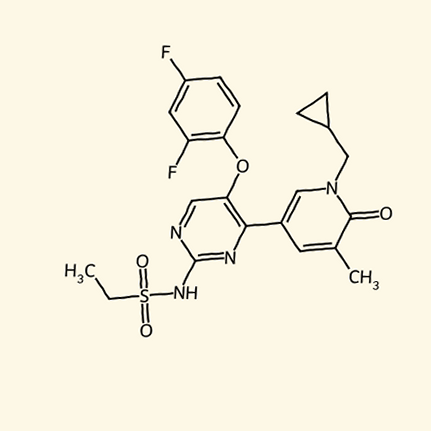 CCS(=O)(=O)Nc1ncc(Oc2ccc(F)cc2F)c(-c2cc(C)c(=O)n(CC3CC3)c2)n1